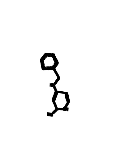 OC1C=C(NCc2ccccc2)C=CN1